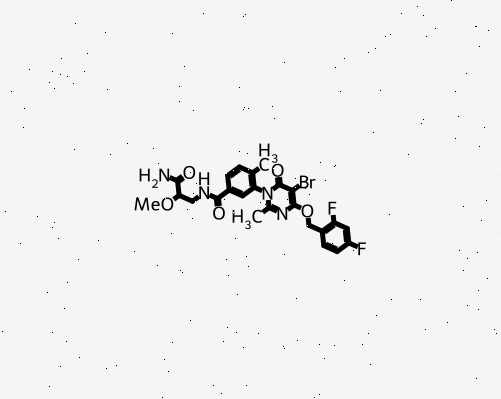 COC(CNC(=O)c1ccc(C)c(-n2c(C)nc(OCc3ccc(F)cc3F)c(Br)c2=O)c1)C(N)=O